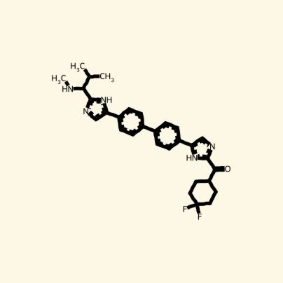 CNC(c1ncc(-c2ccc(-c3ccc(-c4cnc(C(=O)C5CCC(F)(F)CC5)[nH]4)cc3)cc2)[nH]1)C(C)C